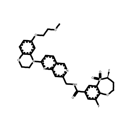 COCCOc1ccc2c(c1)N(c1ccc3cnc(CNC(=O)c4cc(F)c5c(c4)S(=O)(=O)[C@@H](F)CCO5)cc3n1)CCO2